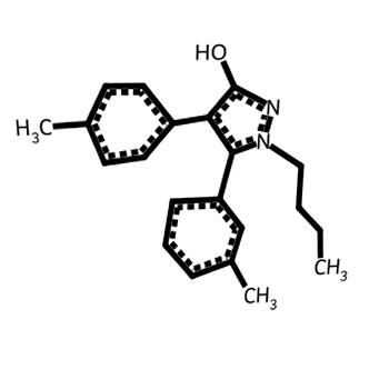 CCCCn1nc(O)c(-c2ccc(C)cc2)c1-c1cccc(C)c1